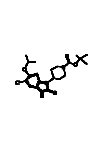 CC(C)Oc1cc2c(cc1Cl)[nH]c(=O)n2C1CCN(C(=O)OC(C)(C)C)CC1